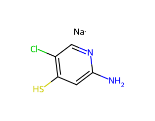 Nc1cc(S)c(Cl)cn1.[Na]